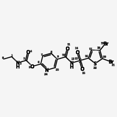 CCNC(=O)Oc1ccc(C(=O)NS(=O)(=O)c2cc(Br)c(Br)s2)cn1